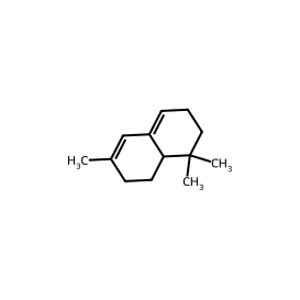 CC1=CC2=CCCC(C)(C)C2CC1